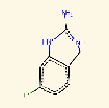 NC1=[N+]Cc2ccc(F)cc2N1